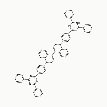 C1=C(c2ccc(-c3ccc(-c4ccc(-c5ccc(-c6nc(-c7ccccc7)nc(-c7ccccc7)n6)cc5)c5ccccc45)c4ccccc34)cc2)NC(c2ccccc2)NC1c1ccccc1